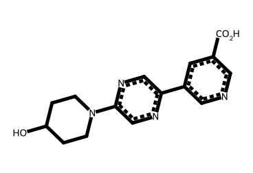 O=C(O)c1cncc(-c2cnc(N3CCC(O)CC3)cn2)c1